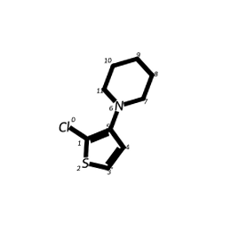 Clc1s[c]cc1N1CCCCC1